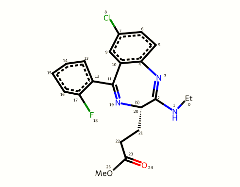 CCNC1=Nc2ccc(Cl)cc2C(c2ccccc2F)=N[C@H]1CCC(=O)OC